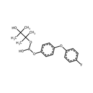 CC(C)(O)C(C)(C)OB(O)Oc1ccc(Oc2ccc(F)cc2)cc1